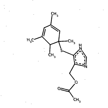 CC(=O)OCc1nc[nH]c1SC1(C)C=C(C)C=C(C)C1C